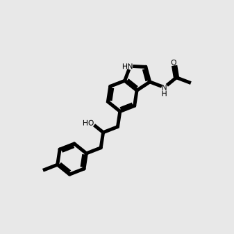 CC(=O)Nc1c[nH]c2ccc(CC(O)Cc3ccc(C)cc3)cc12